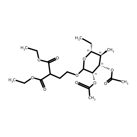 CCOC(=O)C(CCOC1O[C@H](CC)[C@@H](C)[C@H](OC(C)=O)[C@@H]1OC(C)=O)C(=O)OCC